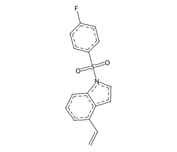 C=Cc1cccc2c1ccn2S(=O)(=O)c1ccc(F)cc1